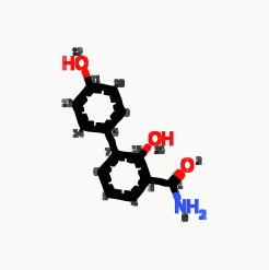 NC(=O)c1cccc(-c2ccc(O)cc2)c1O